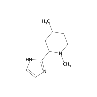 CC1CCN(C)C(c2ncc[nH]2)C1